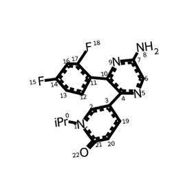 CC(C)n1cc(-c2ncc(N)nc2-c2ccc(F)cc2F)ccc1=O